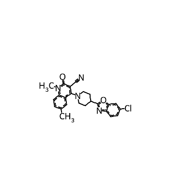 Cc1ccc2c(c1)c(N1CCC(c3nc4ccc(Cl)cc4o3)CC1)c(C#N)c(=O)n2C